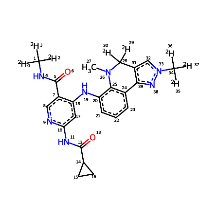 [2H]C([2H])([2H])NC(=O)c1cnc(NC(=O)C2CC2)cc1Nc1cccc2c1N(C)C([2H])([2H])c1cn(C([2H])([2H])[2H])nc1-2